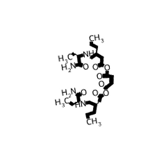 CCC[C@H](CN[C@@H](CC)C(N)=O)CC(=O)OC(=O)/C=C\C(=O)OC(=O)C[C@H](CCC)CN[C@@H](CC)C(N)=O